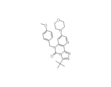 COc1ccc(Cn2c(=O)n3c(C(C)(C)C)nnc3c3ncc(N4CCOCC4)cc32)cc1